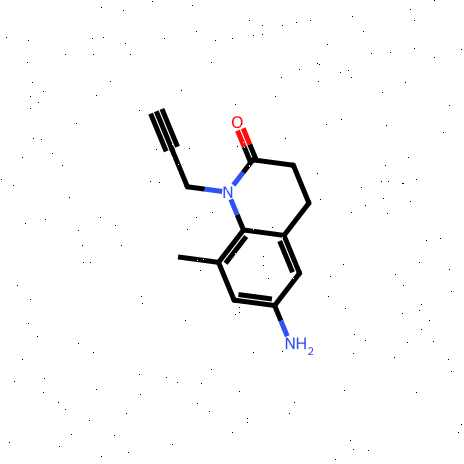 C#CCN1C(=O)CCc2cc(N)cc(C)c21